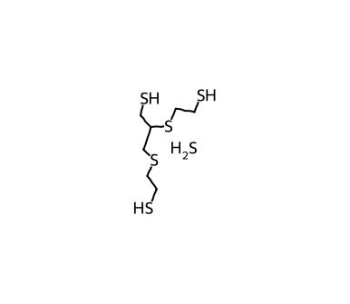 S.SCCSCC(CS)SCCS